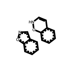 C1=Cc2ccccc2ON1.c1ccc2oncc2c1